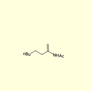 C=C(CCCCCC)NC(C)=O